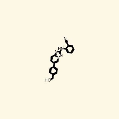 N#Cc1ccccc1Nc1nc2ccc(-c3ccc(CO)cc3)cn2n1